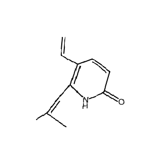 C=Cc1ccc(=O)[nH]c1C=C(C)C